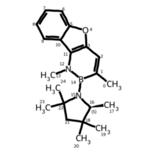 CC1=Cc2oc3ccccc3c2N(C)B1N1[C@@H](C)C(C)(C)CC1(C)C